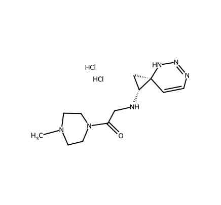 CN1CCN(C(=O)CN[C@@H]2C[C@]23C=CN=NN3)CC1.Cl.Cl